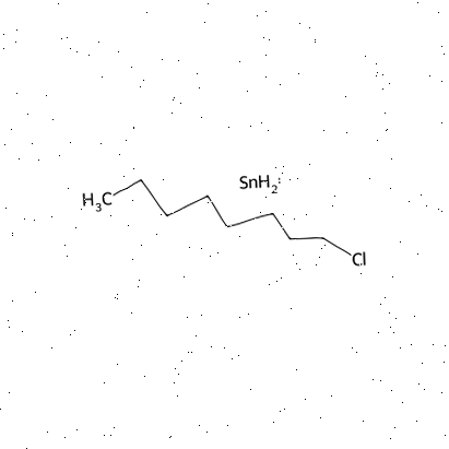 CCCCCCCCCl.[SnH2]